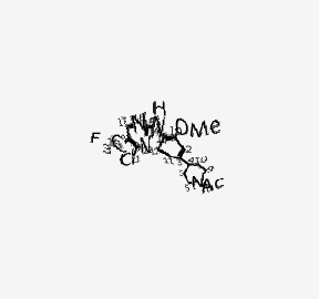 COc1cc(C2CCN(C(C)=O)CC2)ccc1Nc1ncc(C(F)(F)F)c(Cl)n1